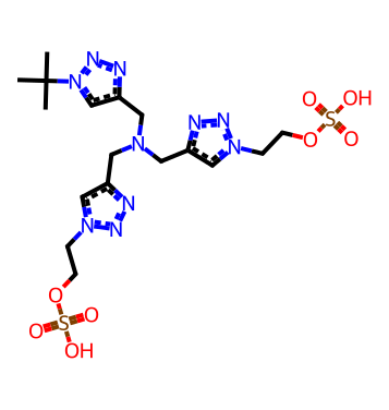 CC(C)(C)n1cc(CN(Cc2cn(CCOS(=O)(=O)O)nn2)Cc2cn(CCOS(=O)(=O)O)nn2)nn1